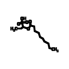 CCCCCCCCCC(=O)OC(CC)S(=O)(=O)O